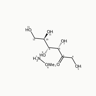 CON.O=C(CO)[C@@H](O)[C@H](O)[C@H](O)CO